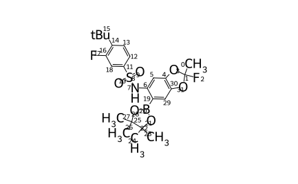 CC1(F)Oc2cc(NS(=O)(=O)c3ccc(C(C)(C)C)c(F)c3)c(B3OC(C)(C)C(C)(C)O3)cc2O1